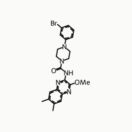 COc1nc2cc(C)c(C)cc2nc1NC(=O)N1CCN(c2cccc(Br)c2)CC1